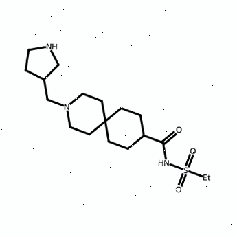 CCS(=O)(=O)NC(=O)C1CCC2(CC1)CCN(CC1CCNC1)CC2